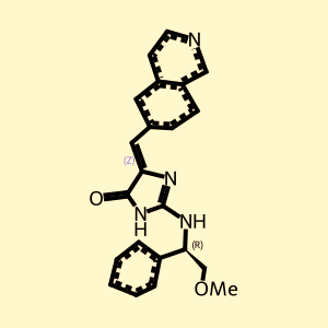 COC[C@H](NC1=N/C(=C\c2ccc3cnccc3c2)C(=O)N1)c1ccccc1